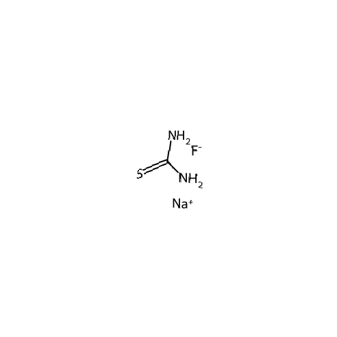 NC(N)=S.[F-].[Na+]